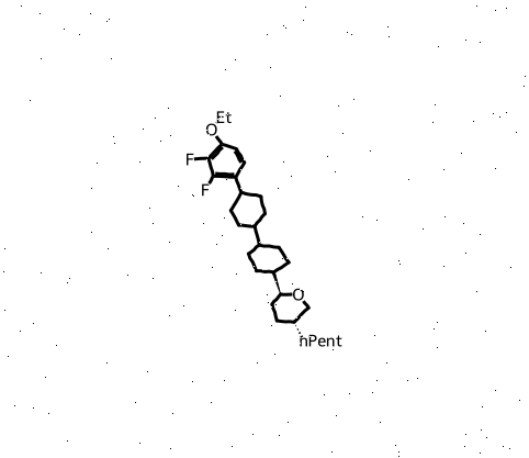 CCCCC[C@@H]1CC[C@@H](C2CCC(C3CCC(c4ccc(OCC)c(F)c4F)CC3)CC2)OC1